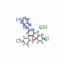 Cl.Fc1cc(Cl)ccc1COc1ccc(Cl)cc1Cc1cccc(-c2nc3c[nH]cnc-3n2)n1